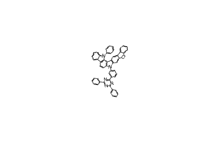 c1ccc(-c2nc(-c3ccccc3)nc(-c3cccc(-n4c5cc6oc7ccccc7c6cc5c5c4ccc4c6ccccc6n(-c6ccccc6)c45)c3)n2)cc1